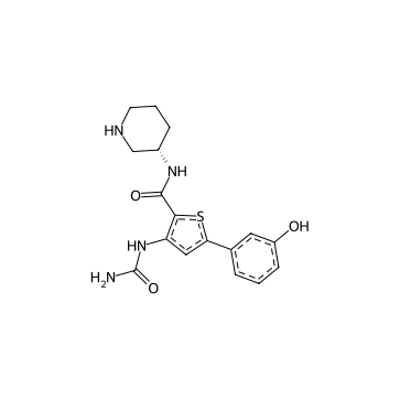 NC(=O)Nc1cc(-c2cccc(O)c2)sc1C(=O)N[C@H]1CCCNC1